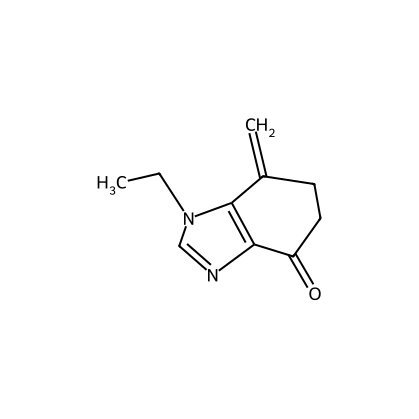 C=C1CCC(=O)c2ncn(CC)c21